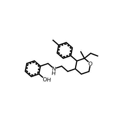 CCC1(C)OCCC(CCNCc2ccccc2O)C1c1ccc(C)cc1